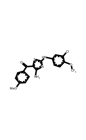 COc1ccc(C(=O)c2sc(Nc3ccc(OC(F)(F)F)c(Cl)c3)nc2N)cc1